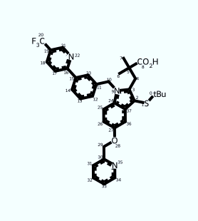 CC(C)(C)Sc1c(CC(C)(C)C(=O)O)n(Cc2cccc(-c3ccc(C(F)(F)F)cn3)c2)c2ccc(OCc3ccccn3)cc12